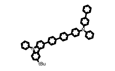 CC(C)(C)c1ccc2c(c1)c1cc(-c3ccc(-c4ccc(-c5ccc(N(c6ccccc6)c6ccc(-c7ccccc7)cc6)cc5)cc4)cc3)ccc1n2-c1ccccc1